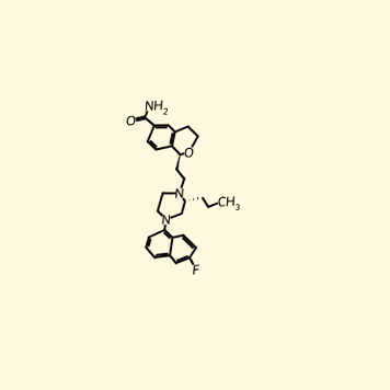 CCC[C@@H]1CN(c2cccc3cc(F)ccc23)CCN1CC[C@@H]1OCCc2cc(C(N)=O)ccc21